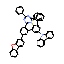 c1ccc(-c2nc(-c3ccccc3)nc(-c3ccc(-c4ccc5c(c4)oc4ccccc45)cc3-c3cc(-n4c5ccccc5c5ccccc54)cc4c3sc3ccccc34)n2)cc1